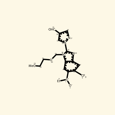 CC[S+]([O-])c1cc2c(cc1C(F)(F)F)nc(-n1cc([C]=O)cn1)n2COCCOC